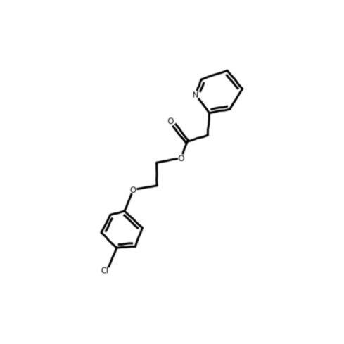 O=C(Cc1ccccn1)OCCOc1ccc(Cl)cc1